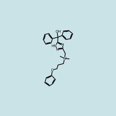 C[N+](C)(CCCOc1ccccc1)Cc1n[nH]c(C(O)(c2ccccc2)c2ccccc2)n1